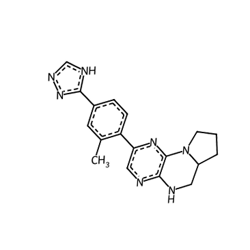 Cc1cc(-c2nnc[nH]2)ccc1-c1cnc2c(n1)N1CCCC1CN2